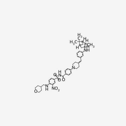 C[C@H]1[C@@H](Nc2cccc(C=C3CCN(c4ccc(C(=O)NS(=O)(=O)c5ccc(NCC6CCOCC6)c([N+](=O)[O-])c5)cc4)CC3)c2)C[C@@H]2C[C@@H]1C2(C)C